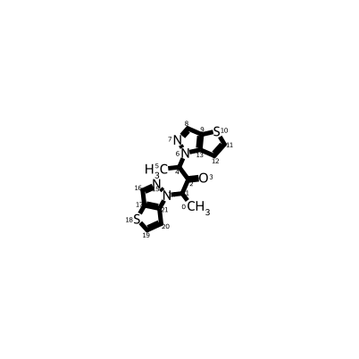 CC(C(=O)C(C)n1ncc2sccc21)n1ncc2sccc21